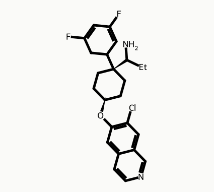 CCC(N)[C@]1(C2C=C(F)C=C(F)C2)CC[C@H](Oc2cc3ccncc3cc2Cl)CC1